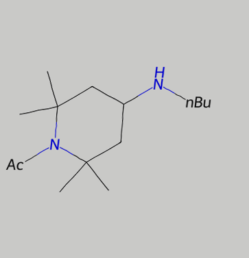 CCCCNC1CC(C)(C)N(C(C)=O)C(C)(C)C1